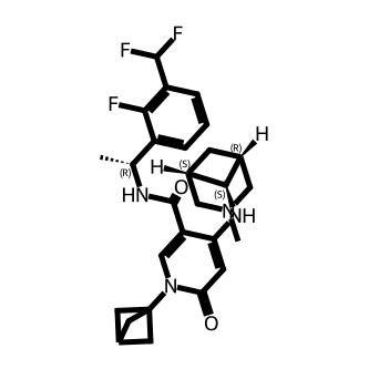 C[C@@H](NC(=O)c1cn(C23CC(C2)C3)c(=O)cc1N[C@@H]1[C@@H]2C[C@H]1CN(C)C2)c1cccc(C(F)F)c1F